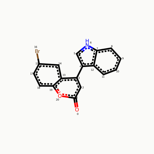 O=c1cc(-c2c[nH]c3ccccc23)c2cc(Br)ccc2o1